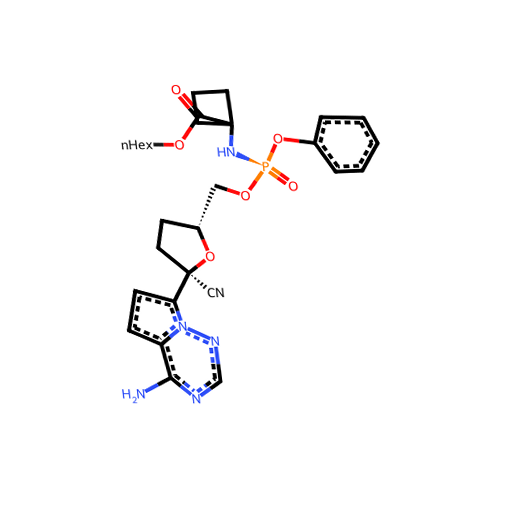 CCCCCCOC(=O)C1(N[P@@](=O)(OC[C@H]2CC[C@](C#N)(c3ccc4c(N)ncnn34)O2)Oc2ccccc2)CCC1